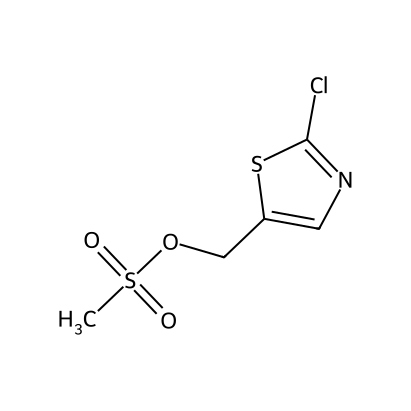 CS(=O)(=O)OCc1cnc(Cl)s1